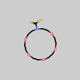 S=C(S)N1CCOCCOCCOCCOCCOCC1